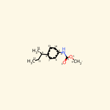 [CH2]OC(=O)Nc1ccc(C(C)CC)cc1